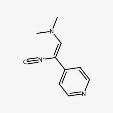 [C-]#[N+]C(=CN(C)C)c1ccncc1